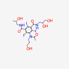 CC(=O)N(CCCO)c1c(I)c(C(=O)NCC(C)O)c(I)c(C(=O)NCC(O)CO)c1I